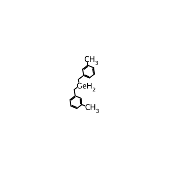 Cc1cccc([CH2][GeH2][CH2]c2cccc(C)c2)c1